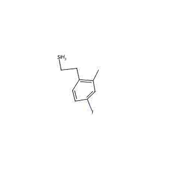 Cc1cc(I)ccc1CC[SiH3]